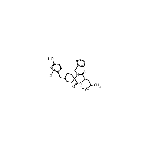 CC(C)CC1NC(=O)C2(CCN(Cc3ccc(O)cc3Cl)CC2)N(Cc2cccs2)C1=O